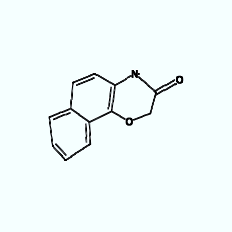 O=C1COc2c(ccc3ccccc23)[N]1